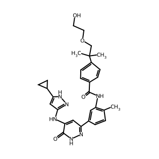 Cc1ccc(-c2cc(Nc3cc(C4CC4)[nH]n3)c(=O)[nH]n2)cc1NC(=O)c1ccc(C(C)(C)COCCO)cc1